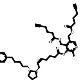 C#CCCCC(=O)OCc1cnc(C)c(OC(=O)CCC/C=C\C[C@H]2CCC[C@@H]2CCCCCc2ccccc2)c1COC(=O)CCCC#C